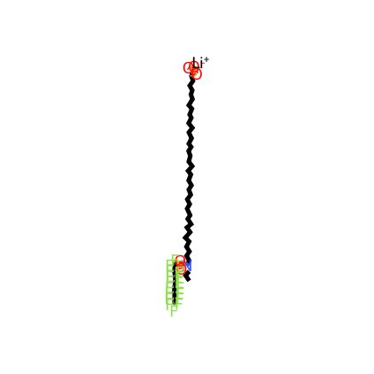 CCCN(CCCCCCCCCCCCCCCCCCCCCCCCCCCCCCCCCCCCCCCCS(=O)(=O)[O-])S(=O)(=O)C(F)(F)C(F)(F)C(F)(F)C(F)(F)C(F)(F)C(F)(F)C(F)(F)C(F)(F)F.[Li+]